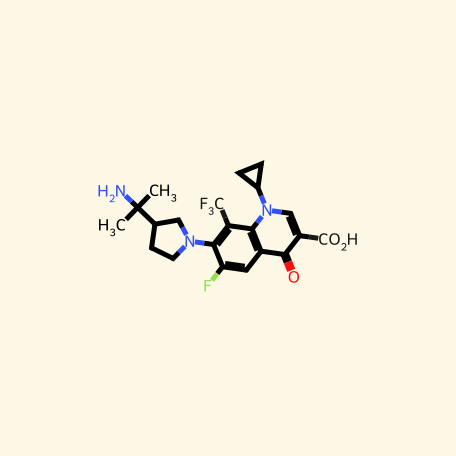 CC(C)(N)C1CCN(c2c(F)cc3c(=O)c(C(=O)O)cn(C4CC4)c3c2C(F)(F)F)C1